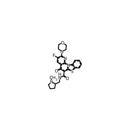 CN1CCCC1CNC(=O)c1c(=O)c2cc(F)c(N3CCOCC3)nc2n2c1sc1ccccc12